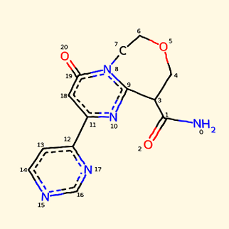 NC(=O)C1COCCn2c1nc(-c1ccncn1)cc2=O